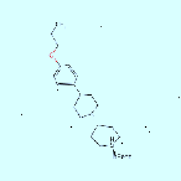 CCCCC[Si@H]1CC[C@H](C2CCC(c3ccc(OCCC(F)(F)F)cc3)CC2)CC1